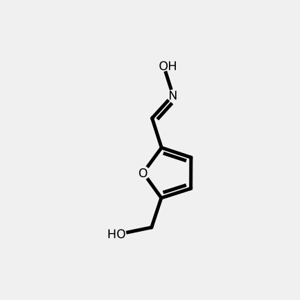 OCc1ccc(C=NO)o1